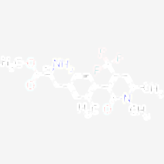 COC(=O)[C@@H](N)Cc1ccc(-c2c(C(F)(F)F)cc(C)n(C)c2=O)c(C)c1